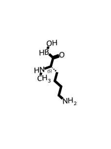 CN[C@@H](CCCCN)C(=O)BO